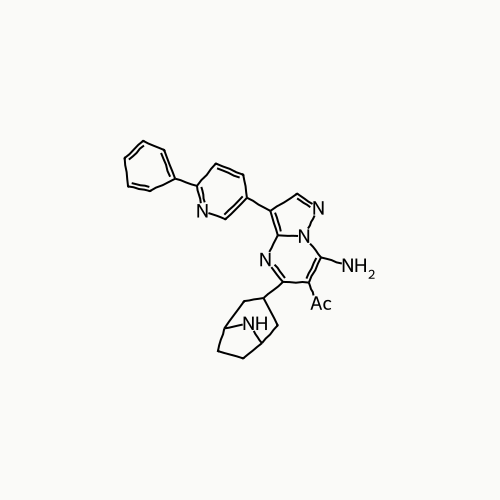 CC(=O)c1c(C2CC3CCC(C2)N3)nc2c(-c3ccc(-c4ccccc4)nc3)cnn2c1N